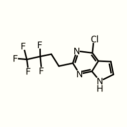 FC(F)(F)C(F)(F)CCc1nc(Cl)c2cc[nH]c2n1